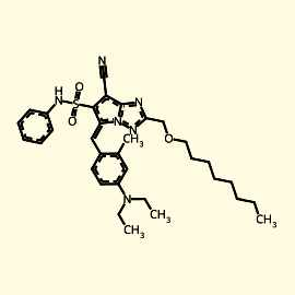 CCCCCCCCOCc1nc2c(C#N)c(S(=O)(=O)Nc3ccccc3)/c(=C/c3ccc(N(CC)CC)cc3C)n2n1